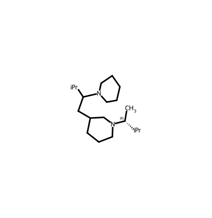 CC(C)C(CC1CCCN([C@H](C)C(C)C)C1)N1CCCCC1